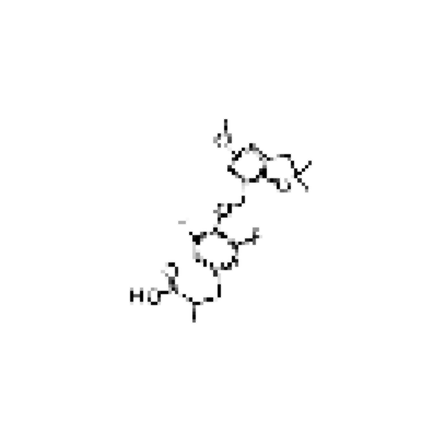 COc1cc(COc2c(F)cc(CC(C)C(=O)O)cc2F)c2c(c1)CC(C)(C)O2